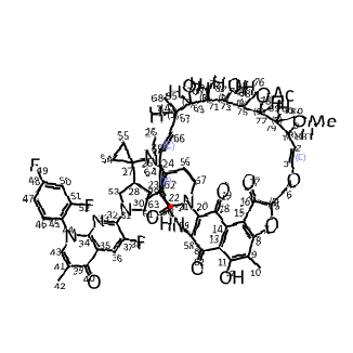 CO[C@H]1/C=C/O[C@@]2(C)Oc3c(C)c(O)c4c(c3C2=O)C(=O)C(N2CCC(N(C)C3(C5CCN(c6nc7c(cc6F)c(=O)c(C)cn7-c6ccc(F)cc6F)C5)CC3)CC2)=C(NC(=O)/C(C)=C\C=C\[C@H](C)[C@H](O)[C@@H](C)[C@@H](O)[C@@H](C)[C@H](OC(C)=O)[C@@H]1C)C4=O